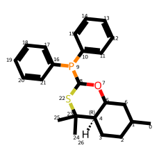 CC1CC[C@@H]2C(C1)OC(P(c1ccccc1)c1ccccc1)SC2(C)C